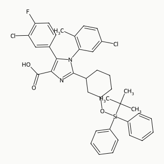 Cc1ccc(Cl)cc1-n1c(C2CCCC(O[Si](c3ccccc3)(c3ccccc3)C(C)(C)C)C2)nc(C(=O)O)c1-c1ccc(F)c(Cl)c1